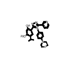 CC(C)c1cc(-c2nnc(-c3cccnc3)n2-c2ccc(N3CCOCC3)cc2)c(O)cc1O